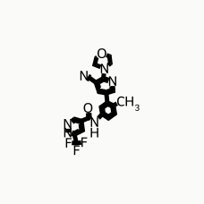 Cc1ccc(NC(=O)c2cnnc(C(F)(F)F)c2)cc1-c1cnc(N2CCOCC2)c(C#N)c1